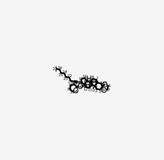 C[C@]12CCC3(CC1=CC[C@@H]1[C@@H]2CC[C@@]2(C)[C@H]1CC[C@]2(C#CCCCCCCI)OC1CCCCO1)OCCO3